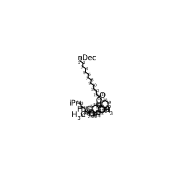 CCCCCCCCCCCCCCCCCCCCCCCC(=O)OC1CCC[C@H]2CC[C@H]3[C@@H]4CC[C@H]([C@H](C)CCCC(C)C)[C@@]4(C)CC[C@@H]3[C@@]12C